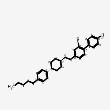 CCCCCc1ccc([C@H]2CC[C@H](CCc3ccc(-c4ccc(Cl)cc4)c(F)c3)CC2)cc1